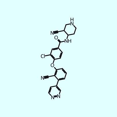 N#Cc1c(Oc2ccc(C(=O)NC3CCNCC3C#N)cc2Cl)cccc1-c1ccnnc1